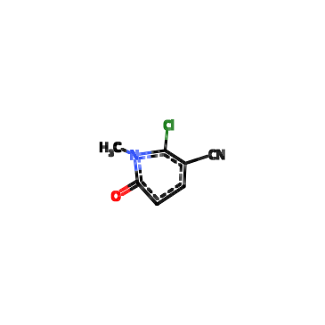 Cn1c(Cl)c(C#N)ccc1=O